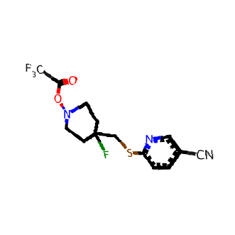 N#Cc1ccc(SCC2(F)CCN(OC(=O)C(F)(F)F)CC2)nc1